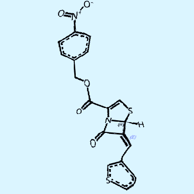 O=C(OCc1ccc([N+](=O)[O-])cc1)C1=CS[C@@H]2/C(=C/c3ccsc3)C(=O)N12